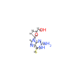 Nc1nc2c(ncn2[C@H]2CCC(CO)O2)c(=S)[nH]1